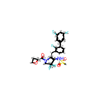 CS(=O)(=O)N[C@@H]1[C@H](Cc2cccc(-c3cc(F)cc(F)c3)c2F)N(C(=O)[C@@H]2CCO2)CC1(F)F